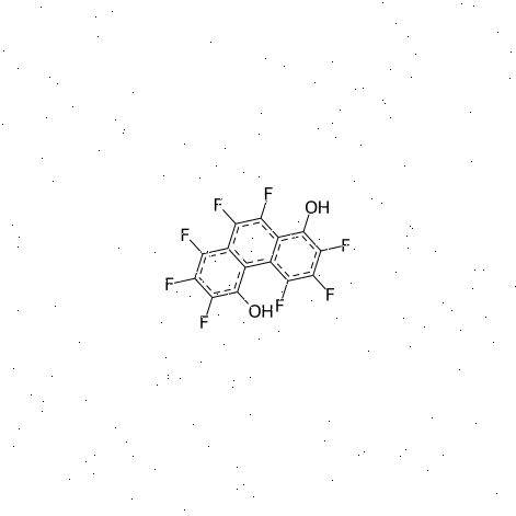 Oc1c(F)c(F)c(F)c2c1c(F)c(F)c1c(F)c(F)c(F)c(O)c12